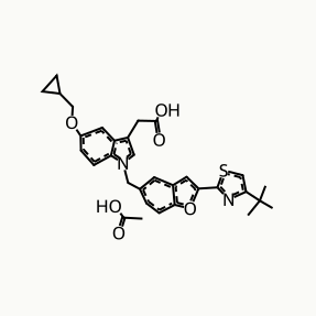 CC(=O)O.CC(C)(C)c1csc(-c2cc3cc(Cn4cc(CC(=O)O)c5cc(OCC6CC6)ccc54)ccc3o2)n1